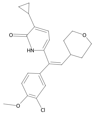 COc1ccc(C(=CC2CCOCC2)c2ccc(C3CC3)c(=O)[nH]2)cc1Cl